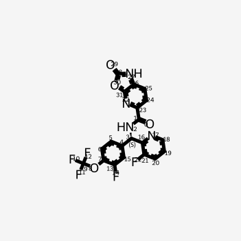 O=C(N[C@@H](c1ccc(OC(F)(F)F)c(F)c1)c1ncccc1F)c1ccc2[nH]c(=O)oc2n1